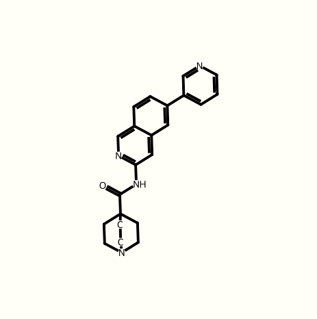 O=C(Nc1cc2cc(-c3cccnc3)ccc2cn1)C12CCN(CC1)CC2